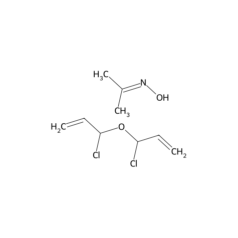 C=CC(Cl)OC(Cl)C=C.CC(C)=NO